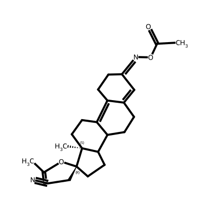 CC(=O)ON=C1C=C2CCC3C(=C2CC1)CC[C@@]1(C)C3CC[C@]1(CC#N)OC(C)=O